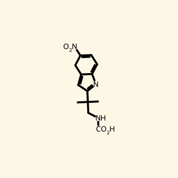 CC(C)(CNC(=O)O)C1=NC2=CC=C([N+](=O)[O-])CC2=C1